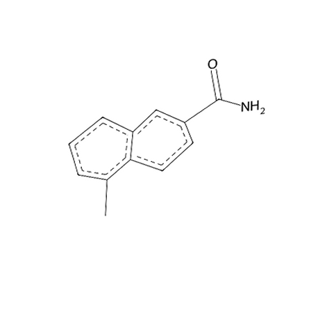 Cc1cccc2cc(C(N)=O)ccc12